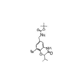 CC(C)C1Oc2c(Br)cc(CNC(=O)OC(C)(C)C)cc2NC1=O